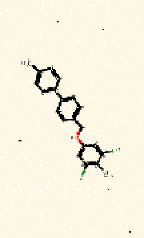 Cc1ccc(-c2ccc(COc3cc(F)c(C)c(F)c3)cc2)cc1